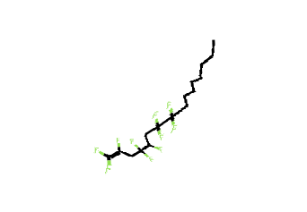 CCCCCCCCC(F)(F)C(F)(F)CC(F)C(F)(F)CC(F)=C(F)F